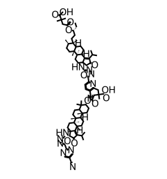 CC[C@H](CC[C@@]1(C)[C@H](C)CC[C@]2(C)[C@@H]1CC[C@@H]1C3=C(C(C)C)C(=O)C[C@]3(Nc3nnc(-c4ccc(C#N)c(CC(C)(CC(=O)O[C@H]5CC[C@@]6(C)C(CC[C@]7(C)[C@@H]6CC[C@@H]6C8=C(C(C)C)C(=O)C[C@]8(Nc8nnc(-c9ncc(C#N)cn9)o8)CC[C@]67C)C5(C)C)C(=O)O)n4)o3)CC[C@]12C)OC(=O)CC(C)(C)C(=O)O